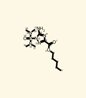 CCCCCOC(=O)c1nc(N)n(P(=O)(N(C)C)N(C)C)n1